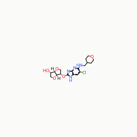 O[C@@H]1CO[C@H]2[C@@H]1OC[C@H]2Oc1nc2nc(NCC3CCOCC3)c(Cl)cc2[nH]1